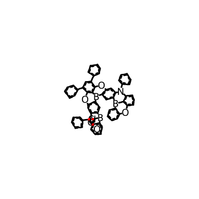 c1ccc(-c2cc(-c3ccccc3)c3c4c2Oc2cc5c(cc2B4c2cc4c(cc2O3)N(c2ccccc2)c2cccc3c2B4c2ccccc2O3)B2c3ccccc3Oc3cccc(c32)N5c2ccccc2)cc1